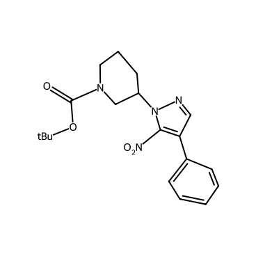 CC(C)(C)OC(=O)N1CCCC(n2ncc(-c3ccccc3)c2[N+](=O)[O-])C1